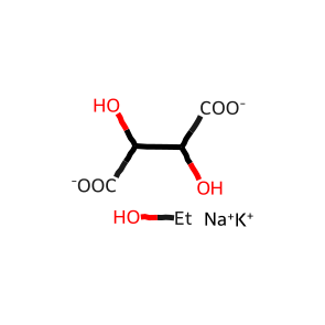 CCO.O=C([O-])C(O)C(O)C(=O)[O-].[K+].[Na+]